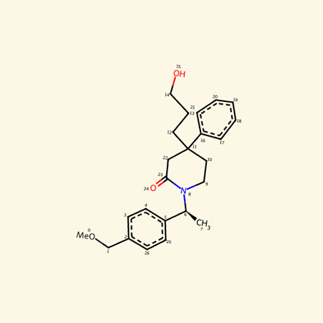 COCc1ccc([C@H](C)N2CCC(CCCO)(c3ccccc3)CC2=O)cc1